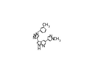 Cc1cccc(Cn2cc(-c3c[nH]c4ncc(-c5cnn(C)c5)cc34)nn2)c1